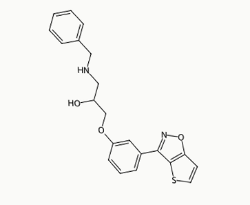 OC(CNCc1ccccc1)COc1cccc(-c2noc3ccsc23)c1